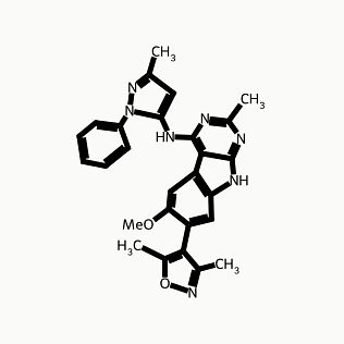 COc1cc2c(cc1-c1c(C)noc1C)[nH]c1nc(C)nc(Nc3cc(C)nn3-c3ccccc3)c12